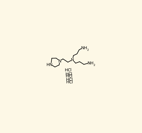 Cl.Cl.Cl.Cl.Cl.NCCCN(CCCN)CCN1CCNCC1